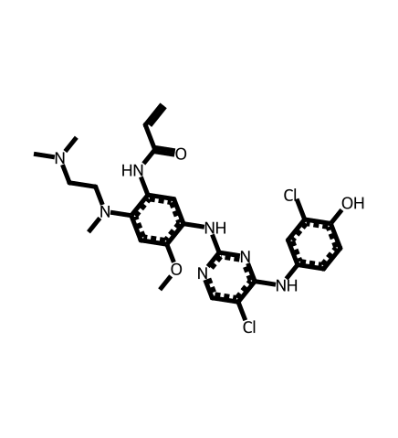 C=CC(=O)Nc1cc(Nc2ncc(Cl)c(Nc3ccc(O)c(Cl)c3)n2)c(OC)cc1N(C)CCN(C)C